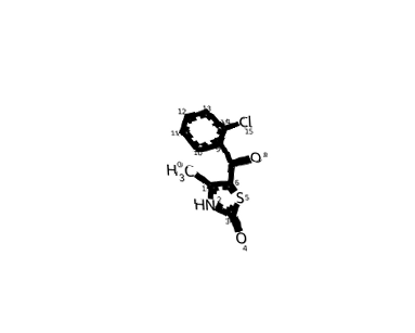 Cc1[nH]c(=O)sc1C(=O)c1ccccc1Cl